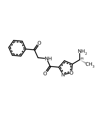 C[C@@H](N)c1cc(C(=O)NCC(=O)c2ccccc2)no1